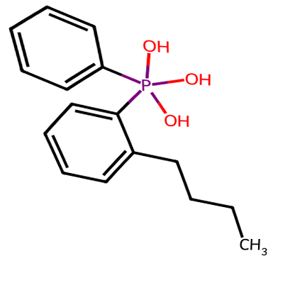 CCCCc1ccccc1P(O)(O)(O)c1ccccc1